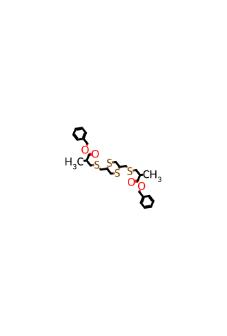 CC(CSCC1CSC(CSCC(C)C(=O)OCc2ccccc2)CS1)C(=O)OCc1ccccc1